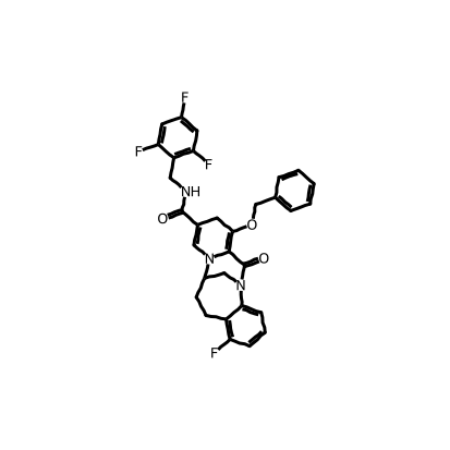 O=C(NCc1c(F)cc(F)cc1F)C1=CN2C(=C(OCc3ccccc3)C1)C(=O)N1CC2CCc2c(F)cccc21